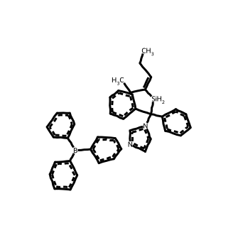 CCC=C(CC)[SiH2]C(c1ccccc1)(c1ccccc1)n1ccnc1.c1ccc(B(c2ccccc2)c2ccccc2)cc1